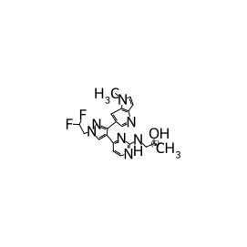 C[C@H](O)CNc1nccc(-c2cn(CC(F)F)nc2-c2cnc3ccn(C)c3c2)n1